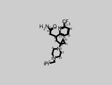 CC(C)CN1CCN(C2(CC(CC(N)=O)c3cccc(C(F)(F)F)n3)CC2)CC1